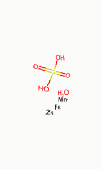 O.O=S(=O)(O)O.[Fe].[Mn].[Zn]